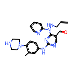 C=CCNN(c1ccccn1)c1nc(Nc2ccc(N3CCNCC3)c(C)c2)ncc1C=O